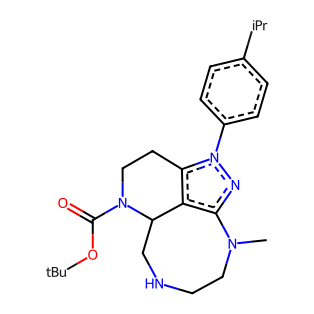 CC(C)c1ccc(-n2nc3c4c2CCN(C(=O)OC(C)(C)C)C4CNCCN3C)cc1